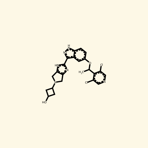 CC(Oc1ccc2[nH]nc(-c3nc4c([nH]3)CN(C3CC(O)C3)C4)c2c1)c1c(Cl)cncc1Cl